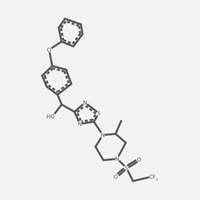 CC1CN(S(=O)(=O)CC(F)(F)F)CCN1c1nc(C(O)c2ccc(Oc3ccccc3)cc2)ns1